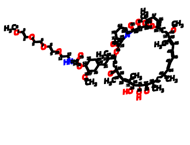 COCCOCCOCCOCCNC(=O)O[C@@H]1CC[C@@H](C[C@@H](C)[C@@H]2CC(=O)[C@H](C)/C=C(\C)[C@@H](O)[C@@H](O)C(=O)[C@H](C)C[C@H](C)/C=C/C=C/C=C(\C)[C@@H](OC)C[C@@H]3CC[C@@H](C)[C@@](O)(O3)C(=O)C(=O)N3CCCC[C@H]3C(=O)O2)C[C@H]1OC